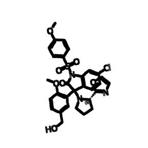 COc1ccc(S(=O)(=O)N2C(=O)C(c3cc(CO)ccc3OC)(N3CCC[C@H]3c3ncco3)c3ccc(Cl)cc32)cc1